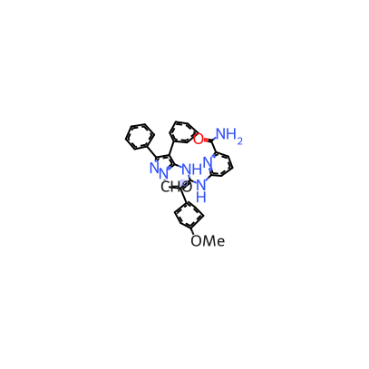 COc1ccc(/C(C)=C(\Nc2cccc(C(N)=O)n2)Nc2c(-c3ccccc3)c(-c3ccccc3)nn2C=O)cc1